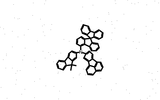 CC1(C)c2ccccc2-c2ccc(N(c3ccc4c(c3)-c3cccc5cccc-4c35)c3cccc4c3-c3ccccc3C43c4ccccc4-c4ccccc43)cc21